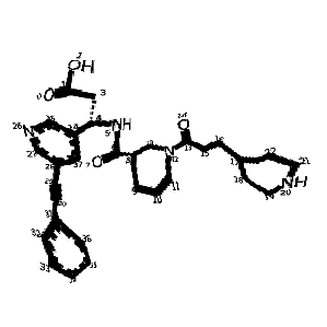 O=C(O)C[C@H](NC(=O)[C@@H]1CCCN(C(=O)CCC2CCNCC2)C1)c1cncc(C#Cc2ccccc2)c1